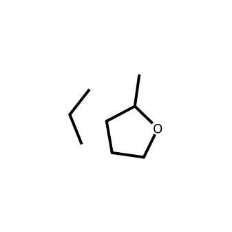 CC1CCCO1.CCC